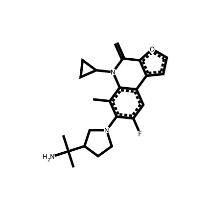 C=C1c2occc2-c2cc(F)c(N3CCC(C(C)(C)N)C3)c(C)c2N1C1CC1